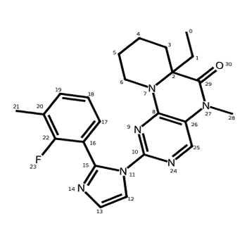 CCC12CCCCN1c1nc(-n3ccnc3-c3cccc(C)c3F)ncc1N(C)C2=O